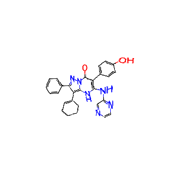 O=c1c(-c2ccc(O)cc2)c(Nc2cnccn2)[nH]c2c(C3=CCCCC3)c(-c3ccccc3)nn12